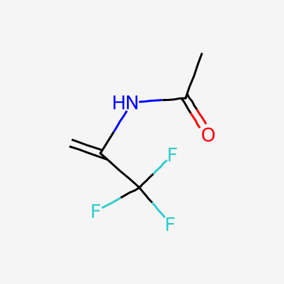 C=C(NC(C)=O)C(F)(F)F